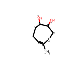 C/C1=C/CCC(O)C(O)CC1